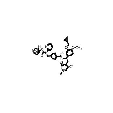 COc1ccc([C@@H](Cc2c(Cl)c[n+]([O-])cc2Cl)OC(=O)c2ccc(CN(C(=O)O[C@H]3CN4CCC3CC4)c3ccccn3)cc2)cc1OCC1CC1